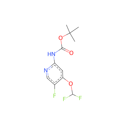 CC(C)(C)OC(=O)Nc1cc(OC(F)F)c(F)cn1